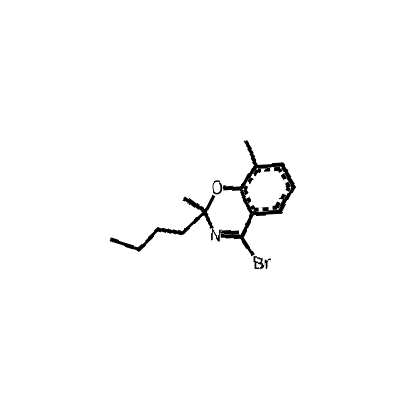 CCCCC1(C)N=C(Br)c2cccc(C)c2O1